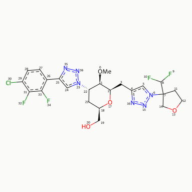 CO[C@H]1[C@@H](Cc2cn(C3(C(F)F)CCOC3)nn2)O[C@@H](CO)C[C@@H]1n1cc(-c2ccc(Cl)c(F)c2F)nn1